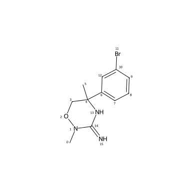 CN1OCC(C)(c2cccc(Br)c2)NC1=N